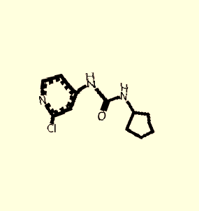 O=C(Nc1ccnc(Cl)c1)NC1CCCC1